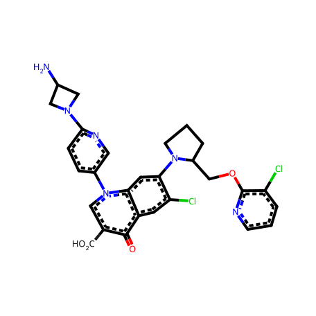 NC1CN(c2ccc(-n3cc(C(=O)O)c(=O)c4cc(Cl)c(N5CCCC5COc5ncccc5Cl)cc43)cn2)C1